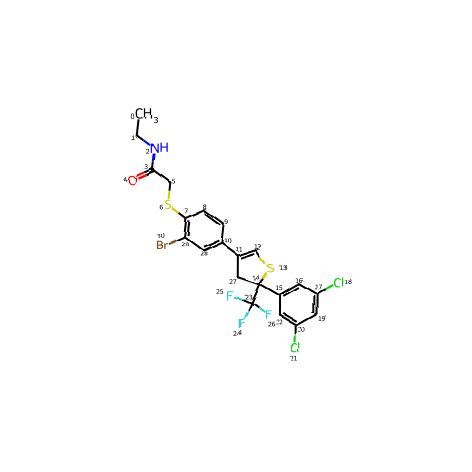 CCNC(=O)CSc1ccc(C2=CSC(c3cc(Cl)cc(Cl)c3)(C(F)(F)F)C2)cc1Br